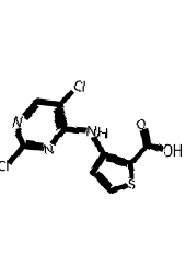 O=C(O)c1sccc1Nc1nc(Cl)ncc1Cl